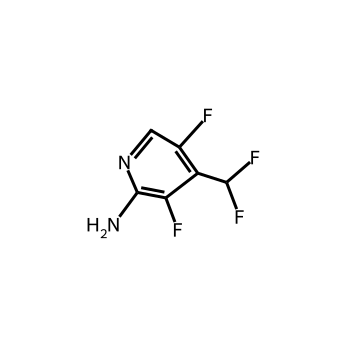 Nc1ncc(F)c(C(F)F)c1F